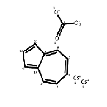 O=C([O-])[O-].[Cs+].[Cs+].c1ccc2cccc-2cc1